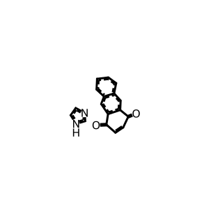 O=C1C=CC(=O)c2cc3ccccc3cc21.c1c[nH]cn1